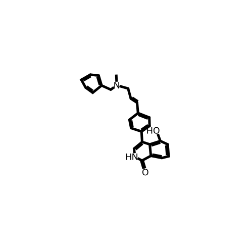 CN(C/C=C/c1ccc(-c2c[nH]c(=O)c3cccc(O)c23)cc1)Cc1ccccc1